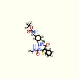 CCNC(=O)Nc1sc2ccccc2c1C(=O)NC[C@H]1CC[C@H](CNC(=O)OC(C)(C)C)CC1